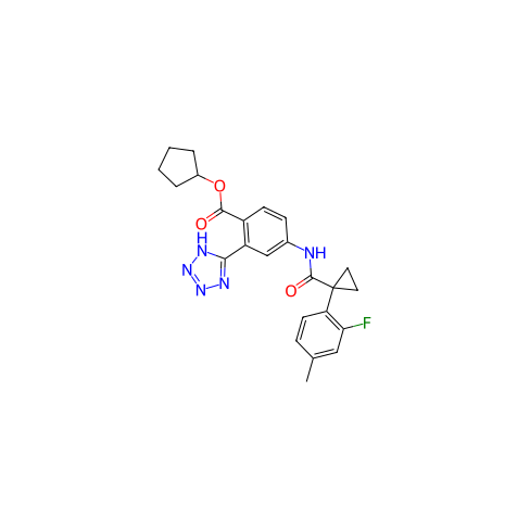 Cc1ccc(C2(C(=O)Nc3ccc(C(=O)OC4CCCC4)c(-c4nnn[nH]4)c3)CC2)c(F)c1